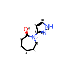 O=C1CCCCCN1c1cc[nH]n1